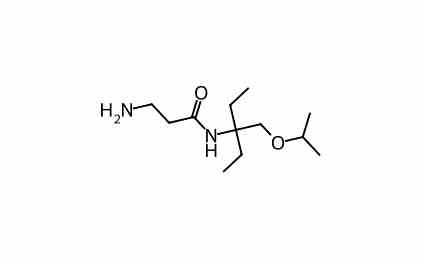 CCC(CC)(COC(C)C)NC(=O)CCN